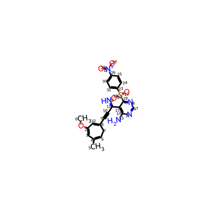 COC1=CC(C)=CCC(C#CC(=N)c2c(N)ncnc2S(=O)(=O)c2ccc([N+](=O)[O-])cc2)=C1